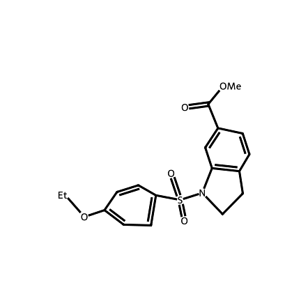 CCOc1ccc(S(=O)(=O)N2CCc3ccc(C(=O)OC)cc32)cc1